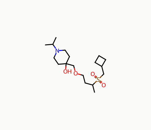 CC(C)N1CCC(O)(COCCC(C)S(=O)(=O)CC2CCC2)CC1